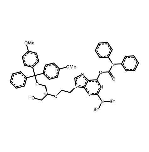 COc1ccc(C(OC[C@H](CO)OCCn2cnc3c(OC(=O)N(c4ccccc4)c4ccccc4)nc(N(C(C)C)C(C)C)nc32)(c2ccccc2)c2ccc(OC)cc2)cc1